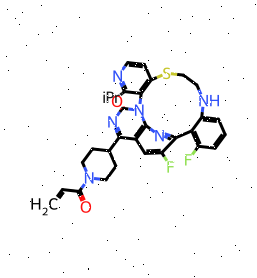 C=CC(=O)N1CCC(c2nc(=O)n3c4nc(c(F)cc24)-c2c(F)cccc2NCCSc2ccnc(C(C)C)c2-3)CC1